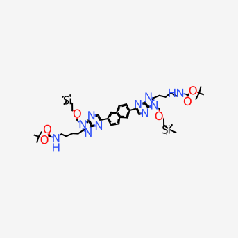 CC(C)(C)OC(=O)NCCCCc1nc2nc(-c3ccc4cc(-c5cnc6c(n5)nc(CCCCNC(=O)OC(C)(C)C)n6COCC[Si](C)(C)C)ccc4c3)cnc2n1COCC[Si](C)(C)C